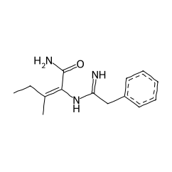 CC/C(C)=C(/NC(=N)Cc1ccccc1)C(N)=O